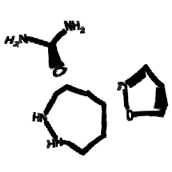 C1CCNNCC1.NC(N)=O.c1cnoc1